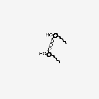 CCCCC=Cc1ccc(O)c(COCOCOCc2cc(C=CCCCC)ccc2O)c1